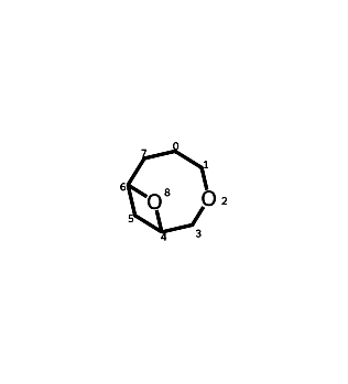 C1COCC2CC(C1)O2